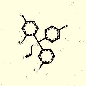 Cc1cc([C@](CC=O)(c2ccc(Br)cc2)c2ccc(Cl)cc2C)ccn1